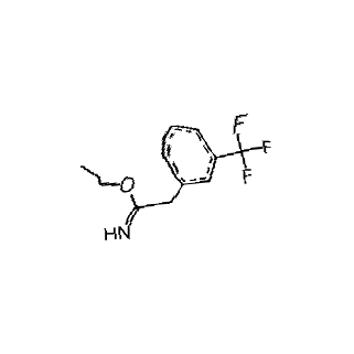 CCOC(=N)Cc1cccc(C(F)(F)F)c1